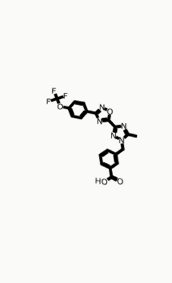 Cc1nc(-c2nc(-c3ccc(OC(F)(F)F)cc3)no2)nn1Cc1cccc(C(=O)O)c1